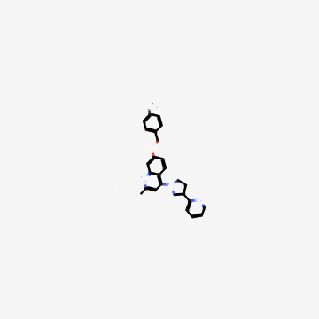 Cc1cc(N2CCC(c3ccccn3)C2)c2ccc(OCc3ccc(C#N)cc3)cc2n1.Cl